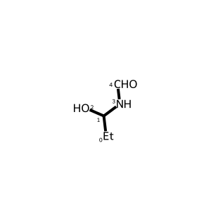 CCC(O)NC=O